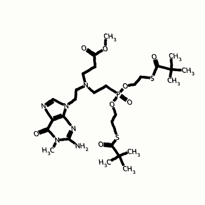 COC(=O)CCN(CCn1cnc2c(=O)n(C)c(N)nc21)CCP(=O)(OCCSC(=O)C(C)(C)C)OCCSC(=O)C(C)(C)C